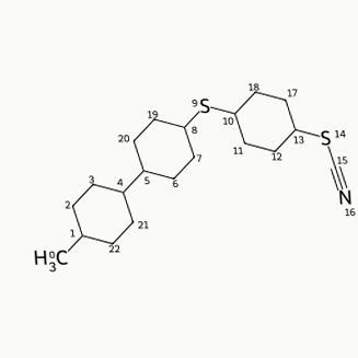 CC1CCC(C2CCC(SC3CCC(SC#N)CC3)CC2)CC1